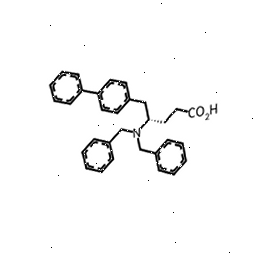 O=C(O)CC[C@@H](Cc1ccc(-c2ccccc2)cc1)N(Cc1ccccc1)Cc1ccccc1